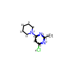 CCc1nc(Cl)cc(N2CCCCC2)n1